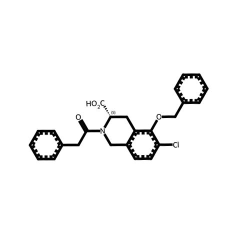 O=C(O)[C@@H]1Cc2c(ccc(Cl)c2OCc2ccccc2)CN1C(=O)Cc1ccccc1